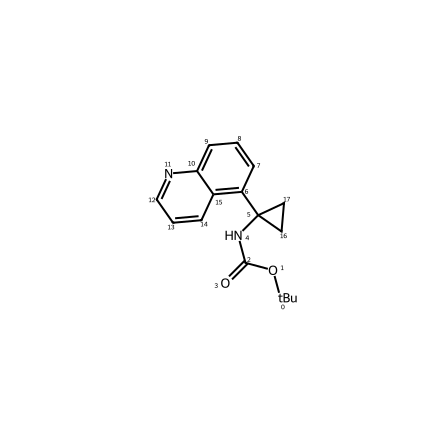 CC(C)(C)OC(=O)NC1(c2cccc3ncccc23)CC1